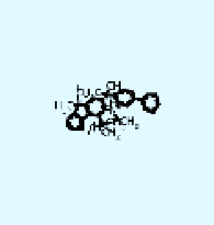 CC(C)N(c1cc(-c2ccccc2)ccc1C(C)(C)C)c1ccc2c(c1C(C)(C)C)-c1ccccc1C2(C)C